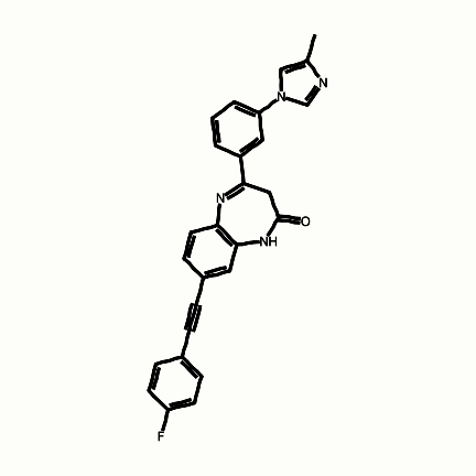 Cc1cn(-c2cccc(C3=Nc4ccc(C#Cc5ccc(F)cc5)cc4NC(=O)C3)c2)cn1